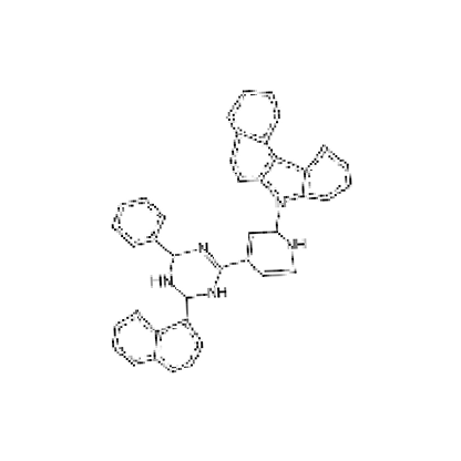 C1=CC(C2=NC(c3ccccc3)NC(c3cccc4ccccc34)N2)=CC(n2c3ccccc3c3c4ccccc4ccc32)N1